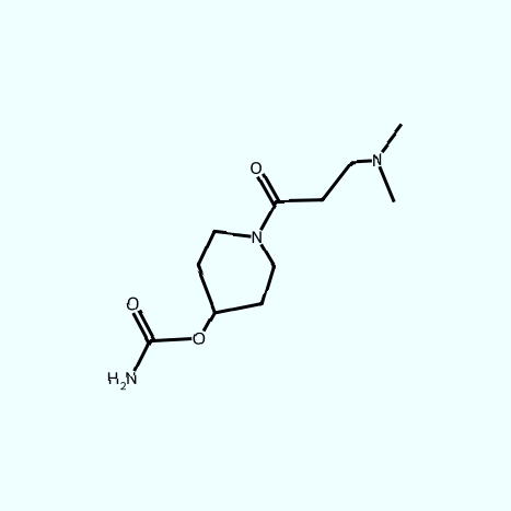 CN(C)CCC(=O)N1CCC(OC(N)=O)CC1